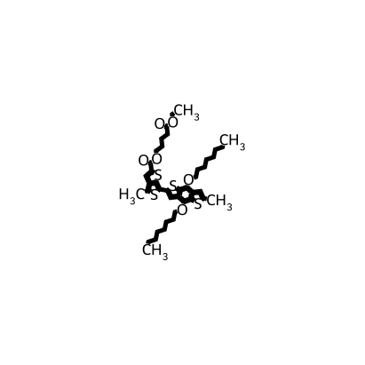 CCCCCCCCOc1c2cc(-c3sc(C)c4cc(C(=O)OCCCCC(=O)OCC)sc34)sc2c(OCCCCCCCC)c2cc(C)sc12